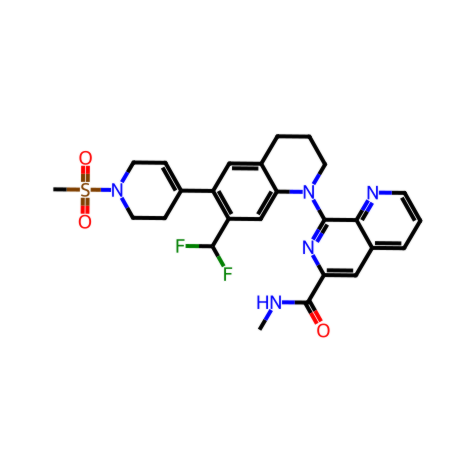 CNC(=O)c1cc2cccnc2c(N2CCCc3cc(C4=CCN(S(C)(=O)=O)CC4)c(C(F)F)cc32)n1